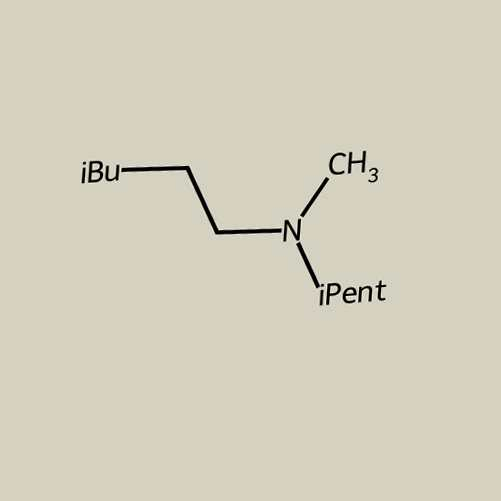 CCCC(C)N(C)CCC(C)CC